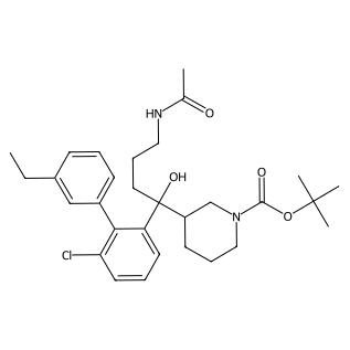 CCc1cccc(-c2c(Cl)cccc2C(O)(CCCNC(C)=O)C2CCCN(C(=O)OC(C)(C)C)C2)c1